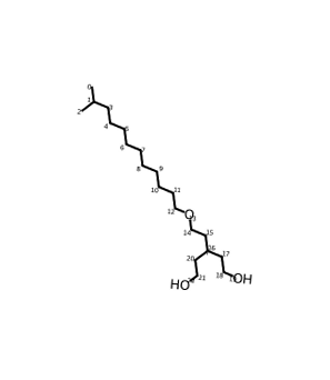 CC(C)CCCCCCCCCCOCC[C](CCO)CCO